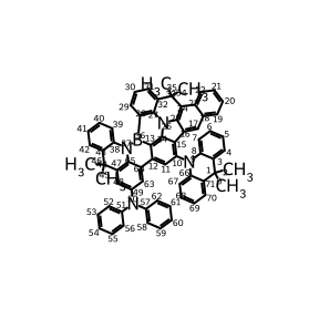 CC1(C)c2ccccc2N(c2cc3c4c5c2c2cc6ccccc6c6c2n5-c2c(cccc2C6(C)C)B4N2c4ccccc4C(C)(C)c4cc(N(c5ccccc5)c5ccccc5)cc-3c42)c2ccccc21